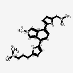 CCCN(CC)Cc1ccc(-c2ccc(-c3ccc(CCCN(C)CC)s3)c3cn(C)cc23)s1